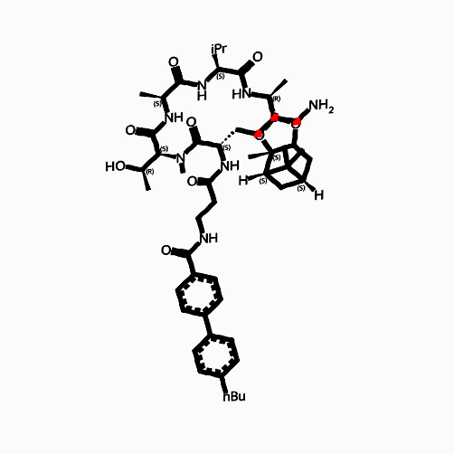 CCCCc1ccc(-c2ccc(C(=O)NCCC(=O)N[C@@H](CCCCN)C(=O)N(C)[C@H](C(=O)N[C@@H](C)C(=O)N[C@H](C(=O)N[C@@H](C)B3OC4C[C@@H]5C[C@@H](C5(C)C)[C@]4(C)O3)C(C)C)[C@@H](C)O)cc2)cc1